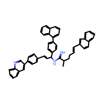 CC(CC/C=C/c1ccc2ccccc2c1)C(=N)NC(/C=C/c1ccc(-c2cnc3ccccc3c2)cc1)c1ccc(-c2cccc3ccccc23)cc1